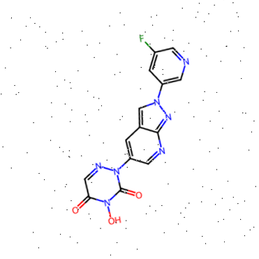 O=c1cnn(-c2cnc3nn(-c4cncc(F)c4)cc3c2)c(=O)n1O